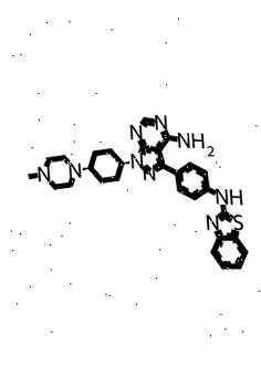 CN1CCN([C@H]2CC[C@@H](n3nc(-c4ccc(Nc5nc6ccccc6s5)cc4)c4c(N)ncnc43)CC2)CC1